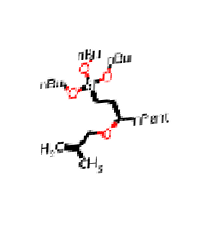 C=C(C)COC(CCCCC)CC[Si](OCCCC)(OCCCC)OCCCC